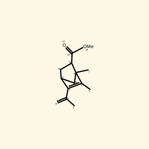 C=C(C)C1=C(C)C2(C)CC1CC2C(=O)OC